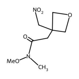 CON(C)C(=O)CC1(C[N+](=O)[O-])COC1